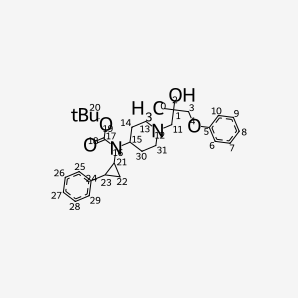 CC(O)(COc1ccccc1)CN1CCC(N(C(=O)OC(C)(C)C)C2CC2c2ccccc2)CC1